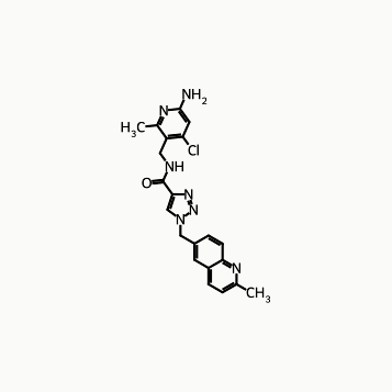 Cc1ccc2cc(Cn3cc(C(=O)NCc4c(Cl)cc(N)nc4C)nn3)ccc2n1